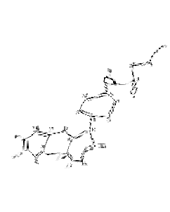 CC=CC(=O)Oc1ccc(-c2cccc3c2Cc2ccccc2-3)cc1